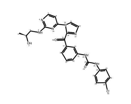 C[C@H](O)CNc1nccc(-n2ccnc2C(=O)c2cccc(NC(=O)Nc3ccc(Cl)cc3)c2)n1